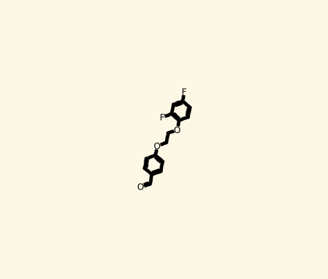 O=Cc1ccc(OCCOc2ccc(F)cc2F)cc1